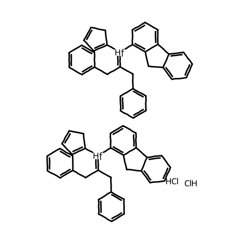 C1=CC[C]([Hf](=[C](Cc2ccccc2)Cc2ccccc2)[c]2cccc3c2Cc2ccccc2-3)=C1.C1=CC[C]([Hf](=[C](Cc2ccccc2)Cc2ccccc2)[c]2cccc3c2Cc2ccccc2-3)=C1.Cl.Cl